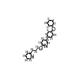 c1ccc(Oc2ccc(-c3ccc(OCCCc4ccccn4)nc3)cc2)cc1